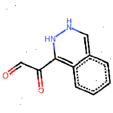 O=CC(=O)C1=c2ccccc2=CNN1